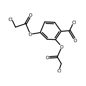 O=C(CCl)Oc1ccc(C(=O)Cl)c(OC(=O)CCl)c1